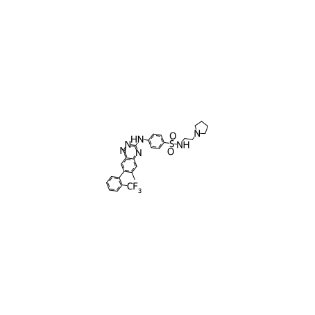 Cc1cc2nc(Nc3ccc(S(=O)(=O)NCCN4CCCC4)cc3)nnc2cc1-c1ccccc1C(F)(F)F